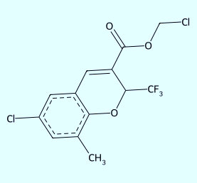 Cc1cc(Cl)cc2c1OC(C(F)(F)F)C(C(=O)OCCl)=C2